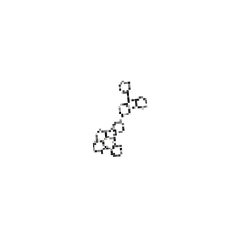 c1ccc(-n2c3ccccc3c3cc(-c4ccc5c(c4)c4ccc6ccnc7c8ncccc8n5c4c67)ccc32)cc1